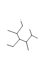 CCC(S)C(C)C(CC(C)C)C(C)CC(C)C